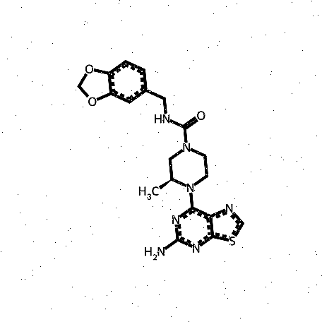 C[C@H]1CN(C(=O)NCc2ccc3c(c2)OCO3)CCN1c1nc(N)nc2scnc12